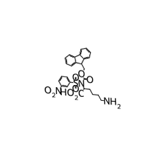 NCCCC[C@@H](C(=O)O)N(C(=O)OCC1c2ccccc2-c2ccccc21)S(=O)(=O)c1cccc([N+](=O)[O-])c1